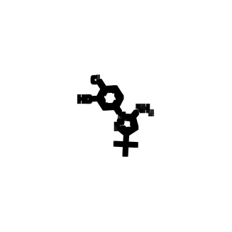 CC(C)(C)c1cc(N)n(-c2ccc(Cl)c(O)c2)n1